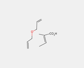 C=CCOCC=C.CC=C(C)C(=O)O